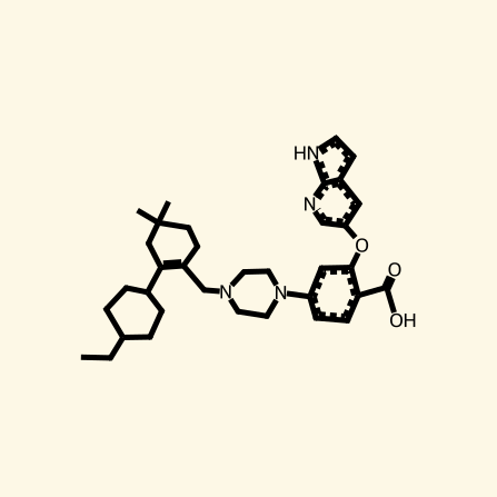 CCC1CCC(C2=C(CN3CCN(c4ccc(C(=O)O)c(Oc5cnc6[nH]ccc6c5)c4)CC3)CCC(C)(C)C2)CC1